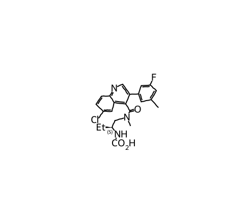 CC[C@@H](CN(C)C(=O)c1c(-c2cc(C)cc(F)c2)cnc2ccc(Cl)cc12)NC(=O)O